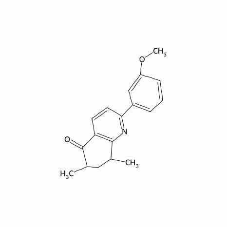 COc1cccc(-c2ccc3c(n2)C(C)CC(C)C3=O)c1